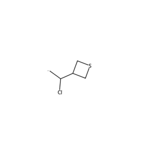 [CH2]C(Cl)C1CSC1